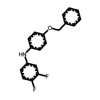 Fc1ccc(Nc2ccc(OCc3ccccc3)cc2)cc1F